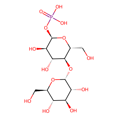 O=P(O)(O)O[C@H]1O[C@H](CO)[C@@H](O[C@H]2O[C@H](CO)[C@@H](O)[C@H](O)[C@H]2O)[C@H](O)[C@H]1O